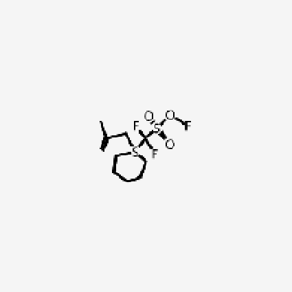 C=C(C)CS1(C(F)(F)S(=O)(=O)OF)CCCCC1